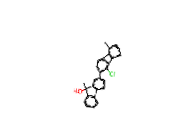 Cc1cccc2c1-c1ccc(-c3ccc4c(c3)C(C)(O)c3ccccc3-4)c(Cl)c1-2